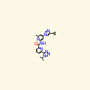 Cc1cc(-n2cnc(C3CC3)c2)cc(NC(=O)c2cccc(-c3nncn3C(C)C)n2)n1